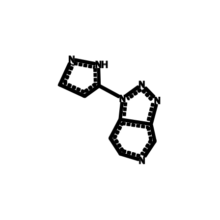 c1cc2c(cn1)nnn2-c1ccn[nH]1